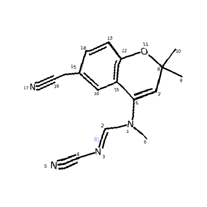 CN(/C=N/C#N)C1=CC(C)(C)Oc2ccc(C#N)cc21